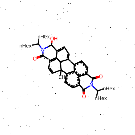 CCCCCCC(CCCCCC)N1C(=O)c2ccc3c4c(ccc(c24)C1=O)C1(C)C=CC2=C4C(=CC=C3C41)C(O)N(C(CCCCCC)CCCCCC)C2=O